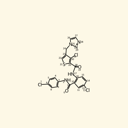 O=C(Nc1ccc(Cl)cc1)c1cc(Cl)ccc1NC(=O)c1scc(Cn2ccnn2)c1Cl